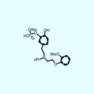 CCCN(CCOc1ccccc1OC)CCc1ccc(O)c(OP(=O)(O)OC)c1